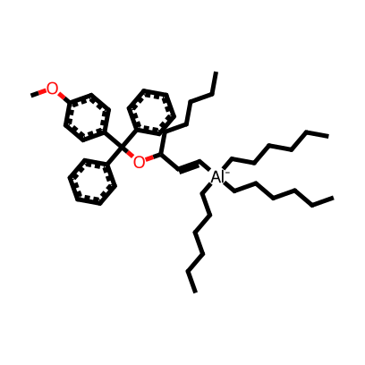 CCCCC[CH2][Al-](/[CH]=C/C(CCCCC)OC(c1ccccc1)(c1ccccc1)c1ccc(OC)cc1)([CH2]CCCCC)[CH2]CCCCC